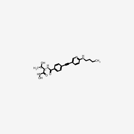 CCCCNc1ccc(C#Cc2ccc(C(=O)N[C@H](C(=O)NO)[C@@H](C)O)cc2)cn1